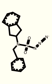 [N-]=[N+]=NS(=O)(=O)N(Cc1ccccc1)C1Cc2ccccc2C1